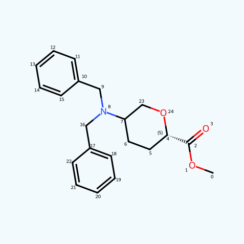 COC(=O)[C@@H]1CCC(N(Cc2ccccc2)Cc2ccccc2)CO1